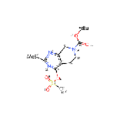 CSc1nc2c(c(OS(=O)(=O)C(F)(F)F)n1)CCN(C(=O)OC(C)(C)C)C2